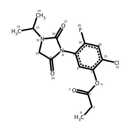 CCC(=O)Oc1cc(N2C(=O)CN(C(C)C)C2=O)c(F)cc1Cl